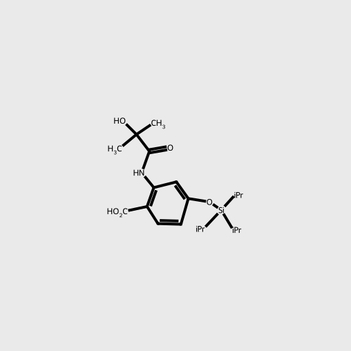 CC(C)[Si](Oc1ccc(C(=O)O)c(NC(=O)C(C)(C)O)c1)(C(C)C)C(C)C